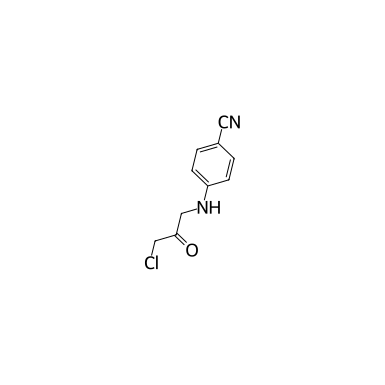 N#Cc1ccc(NCC(=O)CCl)cc1